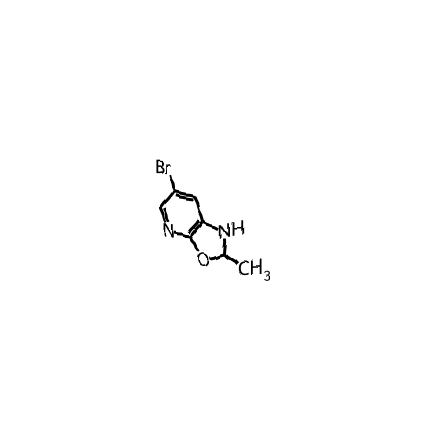 CC1Nc2cc(Br)cnc2O1